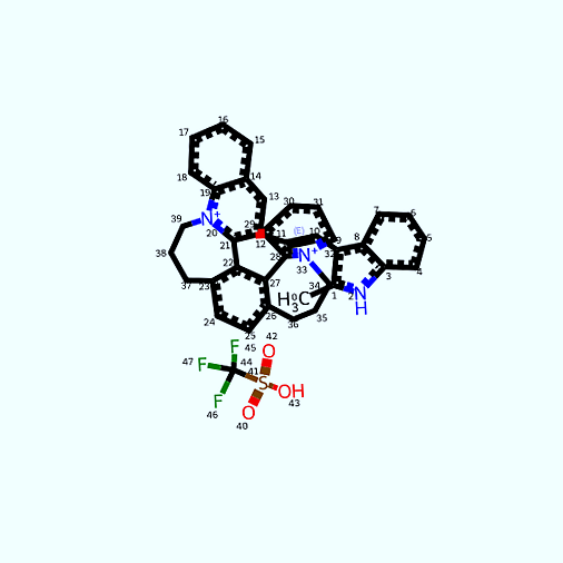 Cc1[nH]c2ccccc2c1/C=C/c1cc2ccccc2[n+]2c1-c1c(ccc3c1-c1cccc[n+]1CCC3)CCC2.O=S(=O)(O)C(F)(F)F